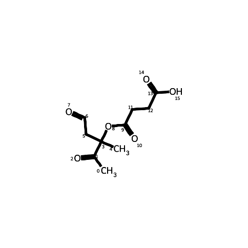 CC(=O)C(C)(CC=O)OC(=O)CCC(=O)O